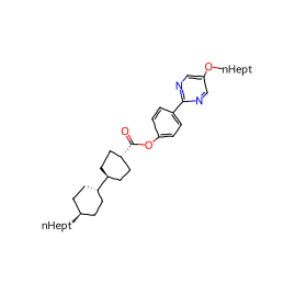 CCCCCCCOc1cnc(-c2ccc(OC(=O)[C@H]3CC[C@H]([C@H]4CC[C@H](CCCCCCC)CC4)CC3)cc2)nc1